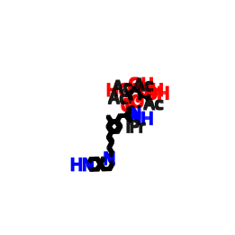 CC(=O)C(O)[C@H]1O[C@@H](Oc2n[nH]c(C(C)C)c2Cc2ccc(/C=C/CCN3CCCC4(CCNCC4)C3)cc2C)[C@@](O)(C(C)=O)[C@](O)(C(C)=O)[C@@]1(O)C(C)=O